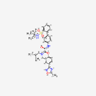 Cc1nc(-c2cccc(CN(CC(C)C)C(=O)C(=O)Nc3ccc(-c4ccccc4S(=O)(=O)NC(C)(C)C)cc3)c2)no1